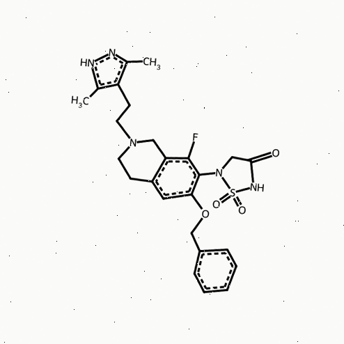 Cc1n[nH]c(C)c1CCN1CCc2cc(OCc3ccccc3)c(N3CC(=O)NS3(=O)=O)c(F)c2C1